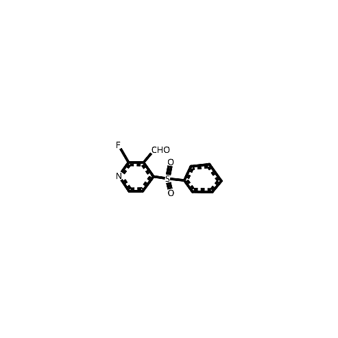 O=Cc1c(S(=O)(=O)c2ccccc2)ccnc1F